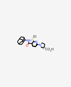 CCSc1nc(N2CC[C@H](C(=O)O)C2)ccc1C(=O)NC1C2CC3CC(C2)CC1C3